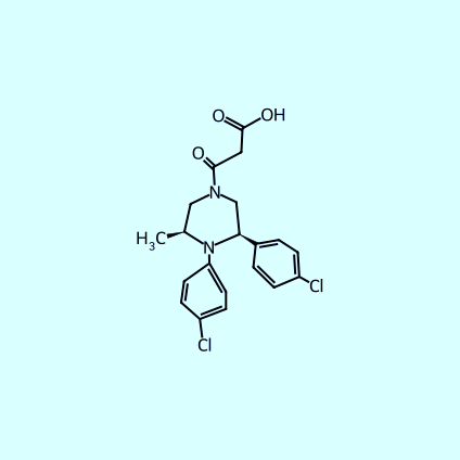 C[C@H]1CN(C(=O)CC(=O)O)C[C@@H](c2ccc(Cl)cc2)N1c1ccc(Cl)cc1